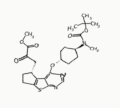 COC(=O)C(=O)C[C@H]1CCc2sc3ncnc(O[C@H]4CC[C@H](N(C)C(=O)OC(C)(C)C)CC4)c3c21